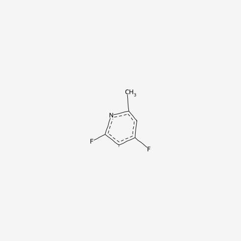 Cc1cc(F)[c]c(F)n1